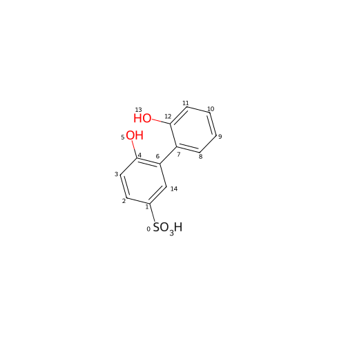 O=S(=O)(O)c1ccc(O)c(-c2ccccc2O)c1